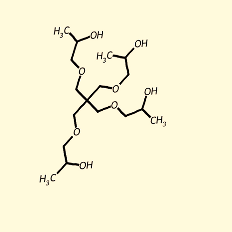 CC(O)COCC(COCC(C)O)(COCC(C)O)COCC(C)O